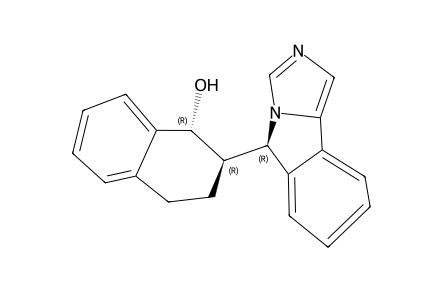 O[C@H]1c2ccccc2CC[C@@H]1[C@@H]1c2ccccc2-c2cncn21